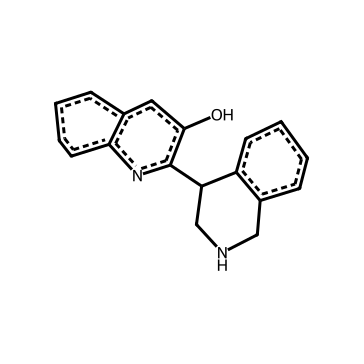 Oc1cc2ccccc2nc1C1CNCc2ccccc21